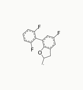 [CH2]C1Cc2cc(F)cc(-c3c(F)cccc3F)c2O1